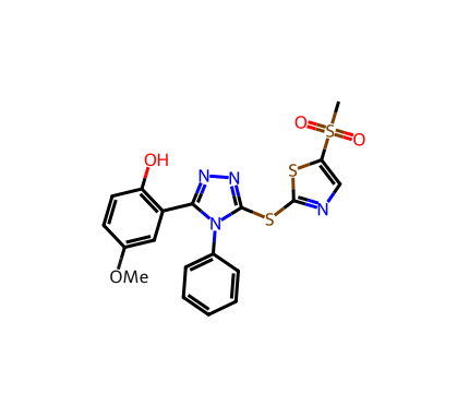 COc1ccc(O)c(-c2nnc(Sc3ncc(S(C)(=O)=O)s3)n2-c2ccccc2)c1